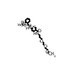 COCCOCCOCCCNC(=O)c1ccc(N/N=C/c2ccccc2S(=O)(=O)O)nc1